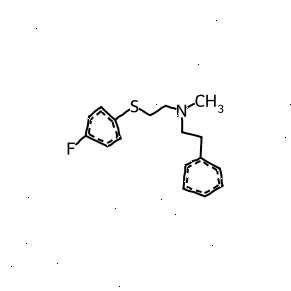 CN(CCSc1ccc(F)cc1)CCc1ccccc1